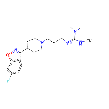 CN(C)/C(=N\CCCN1CCC(c2noc3cc(F)ccc23)CC1)NC#N